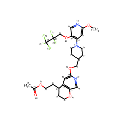 COc1cc(N2CCC(COc3cc4c(cn3)OCCC4CCOC(C)=O)CC2)c(OCC(F)(F)C(F)(F)F)cn1